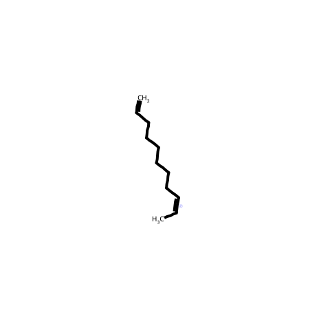 C=CCCCCCC/C=C\C